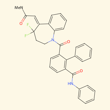 CNC(=O)C=C1c2ccccc2N(C(=O)c2cccc(C(=O)Nc3ccccc3)c2-c2ccccc2)CCC1(F)F